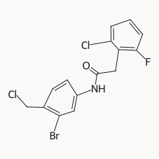 O=C(Cc1c(F)cccc1Cl)Nc1ccc(CCl)c(Br)c1